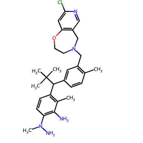 Cc1ccc(C(c2ccc(N(C)N)c(N)c2C)C(C)(C)C)cc1CN1CCOc2cc(Cl)ncc2C1